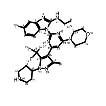 CCNc1nc2cc(F)ccc2n1-c1nc(-c2c(C)nn(C3CCNCC3)c2C(F)(F)F)cc(N2CCOC[C@H]2C)n1